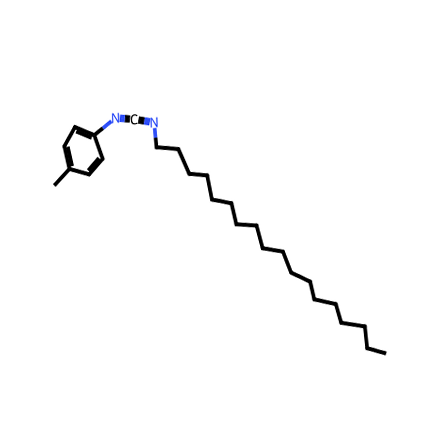 CCCCCCCCCCCCCCCCCCN=C=Nc1ccc(C)cc1